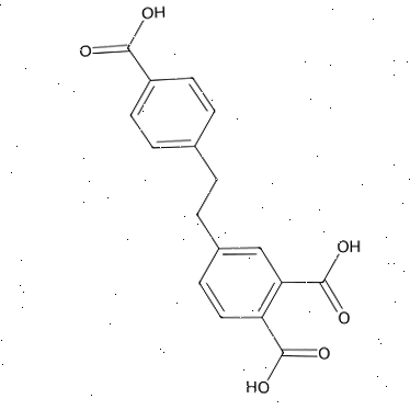 O=C(O)c1ccc(CCc2ccc(C(=O)O)c(C(=O)O)c2)cc1